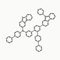 c1ccc(-c2ccc(-c3cc(-c4ccc5c6ccccc6n(-c6ccccc6)c5c4)ccc3-c3cccc(N(c4ccc(-c5ccccc5)cc4)c4ccc5sc6ccccc6c5c4)c3)cc2)cc1